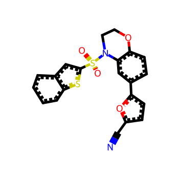 N#Cc1ccc(-c2ccc3c(c2)N(S(=O)(=O)c2cc4ccccc4s2)CCO3)o1